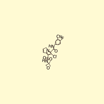 CC1(NS(=O)(=O)c2c(Cl)c(C(=O)Nc3ccc(F)c(C#N)c3)n3c2C=CC3)COC1